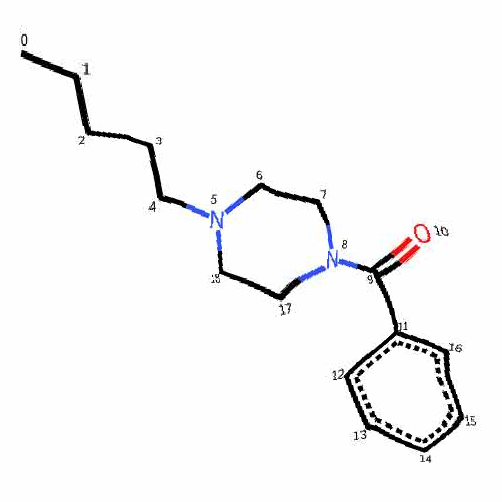 CCCCCN1CCN(C(=O)c2ccccc2)CC1